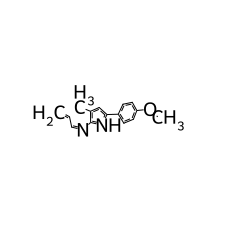 C=C/C=N\c1[nH]c(-c2ccc(OC)cc2)cc1C